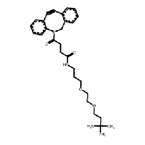 CC(C)(C)CCOCCOCCCNC(=O)CCC(=O)N1Cc2ccccc2C#Cc2ccccc21